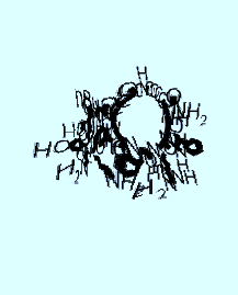 CCCC[C@H](NC(=O)[C@H](CO)NC(=O)[C@H](Cc1ccc(O)cc1)NC(=O)[C@H](CCCCN)NC(=O)[C@H](C)N)C(=O)N[C@H]1CCC(=O)CNCCCC[C@@H](C(N)=O)NC(=O)[C@H](Cc2c[nH]c3ccccc23)NC(=O)[C@H](CCCNC(=N)N)NC(=O)[C@@H](Cc2ccccc2)NC(=O)[C@H](Cc2cccnc2)NC1=O